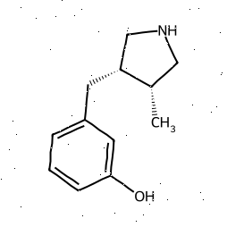 C[C@H]1CNC[C@H]1Cc1cccc(O)c1